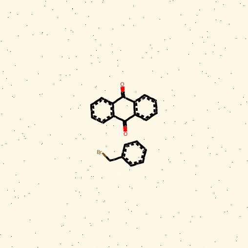 BrCc1ccccc1.O=C1c2ccccc2C(=O)c2ccccc21